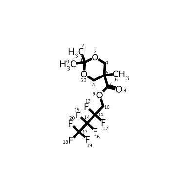 CC1(C)OCC(C)(C(=O)OCC(F)(F)C(F)(F)C(F)(F)F)CO1